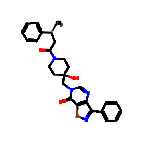 C[C@H](CC(=O)N1CCC(O)(Cn2cnc3c(-c4ccccc4)nsc3c2=O)CC1)c1ccccc1